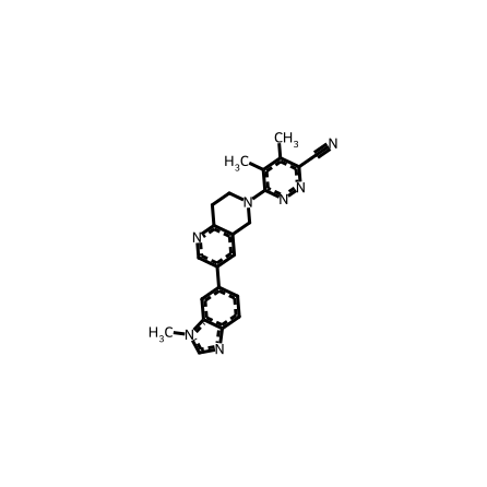 Cc1c(C#N)nnc(N2CCc3ncc(-c4ccc5ncn(C)c5c4)cc3C2)c1C